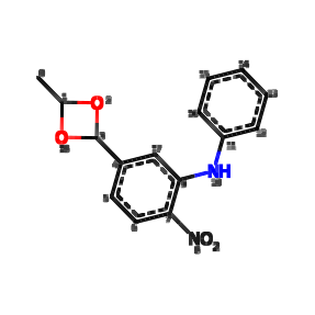 CC1OC(c2ccc([N+](=O)[O-])c(Nc3ccccc3)c2)O1